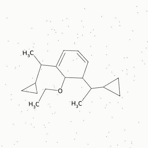 CCOC1C(C(C)C2CC2)=CC=CC1C(C)C1CC1